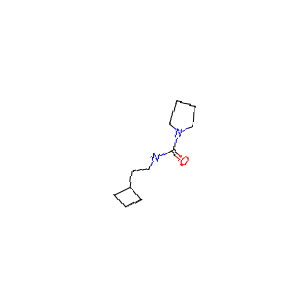 O=C([N]CCC1CCC1)N1CCCC1